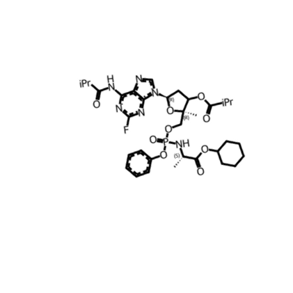 CC(C)C(=O)Nc1nc(F)nc2c1ncn2[C@H]1CC(OC(=O)C(C)C)[C@@](C)(COP(=O)(N[C@@H](C)C(=O)OC2CCCCC2)Oc2ccccc2)O1